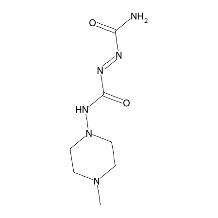 CN1CCN(NC(=O)N=NC(N)=O)CC1